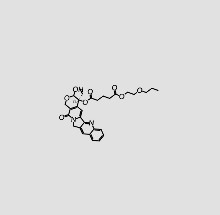 CCCOCCOC(=O)CCCC(=O)O[C@@]1(CC)c2cc3n(c(=O)c2COC1O)Cc1cc2ccccc2nc1-3